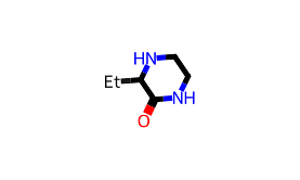 CCC1NCCNC1=O